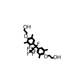 Cc1cc(C(F)(c2cc(C)c(OCCO)c(C)c2)C(F)(F)C(F)(F)F)cc(C)c1OCCO